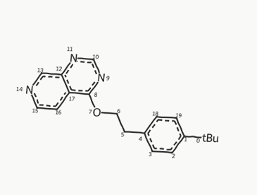 CC(C)(C)c1ccc(CCOc2ncnc3cnccc23)cc1